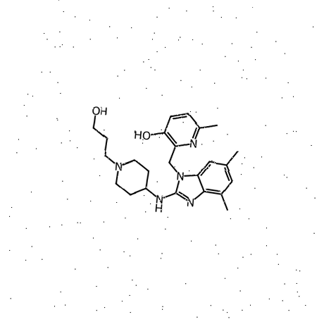 Cc1cc(C)c2nc(NC3CCN(CCCO)CC3)n(Cc3nc(C)ccc3O)c2c1